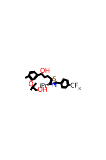 Cc1ccc(C(O)CCc2sc(-c3ccc(C(F)(F)F)cc3)nc2C(C)C)cc1OC(C)(C)CO